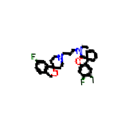 CCN(CCCN1CCC2(CC1)OCc1ccc(F)cc12)C(=O)C1(c2ccc(F)c(F)c2)CCCC1